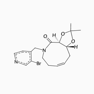 CC1(C)O[C@@H]2C(=O)N(Cc3ccncc3Br)CCC=CC[C@H]2O1